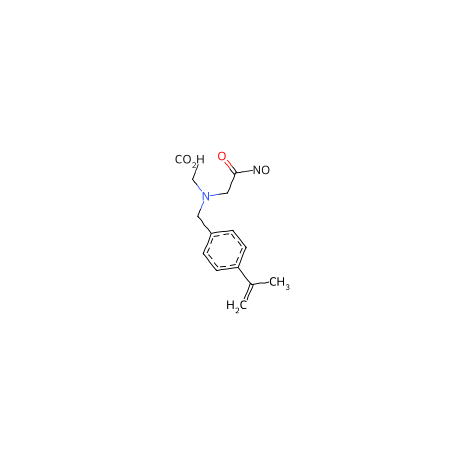 C=C(C)c1ccc(CN(CC(=O)O)CC(=O)N=O)cc1